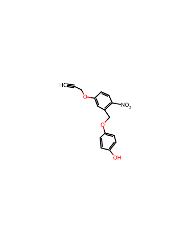 C#CCOc1ccc([N+](=O)[O-])c(COc2ccc(O)cc2)c1